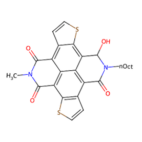 CCCCCCCCN1C(=O)c2c3ccsc3c3c4c(c5ccsc5c(c24)C1O)C(=O)N(C)C3=O